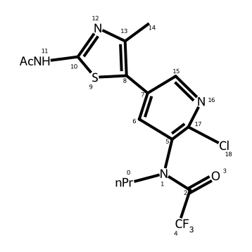 CCCN(C(=O)C(F)(F)F)c1cc(-c2sc(NC(C)=O)nc2C)cnc1Cl